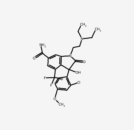 CCN(CC)CCN1C(=O)C(O)(c2ccc(OC)cc2Cl)c2c1cc(C(N)=O)cc2C(F)(F)F